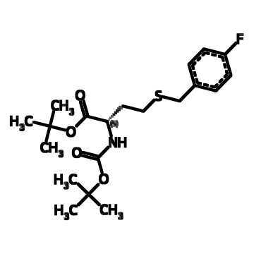 CC(C)(C)OC(=O)N[C@@H](CCSCc1ccc(F)cc1)C(=O)OC(C)(C)C